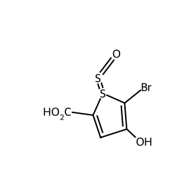 O=S=S1C(C(=O)O)=CC(O)=C1Br